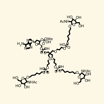 COP(=O)(O)OC1C[C@H](n2cnc3c(N)ncnc32)O[C@@H]1COP(=O)(O)OCC(COCCCOP(=O)(O)OCCCCCCO[C@@H]1OC(CO)[C@H](O)C(O)C1NC(C)=O)(COCCCOP(=O)(O)OCCCCCCO[C@@H]1OC(CO)[C@H](O)C(O)[C@@H]1NC(C)=O)COCCCOP(=O)(O)OCCCCCCO[C@@H]1OC(CO)[C@H](O)C(O)[C@@H]1NC(C)=O